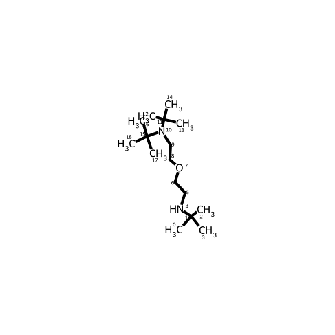 CC(C)(C)NCCOCCN(C(C)(C)C)C(C)(C)C